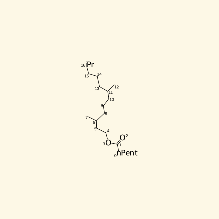 CCCCCC(=O)OCCC(C)CCCC(C)CCCC(C)C